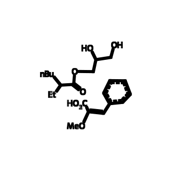 CCCCC(CC)C(=O)OCC(O)CO.COC(=Cc1ccccc1)C(=O)O